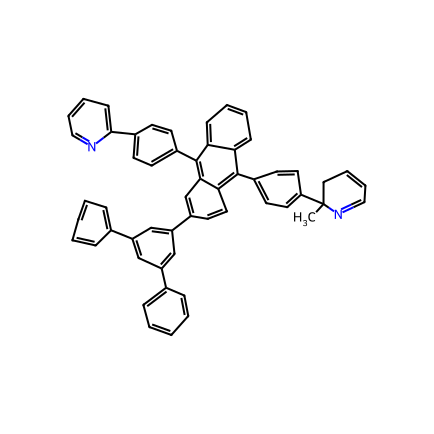 CC1(c2ccc(-c3c4ccccc4c(-c4ccc(-c5ccccn5)cc4)c4cc(-c5cc(-c6ccccc6)cc(-c6ccccc6)c5)ccc34)cc2)CC=CC=N1